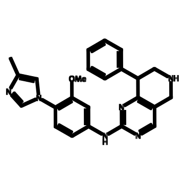 COc1cc(Nc2ncc3c(n2)C(c2ccccc2)CNC3)ccc1-n1cnc(C)c1